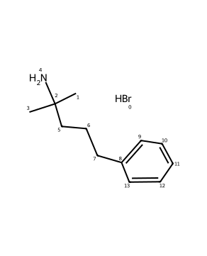 Br.CC(C)(N)CCCc1ccccc1